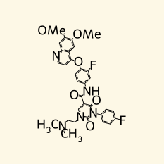 COc1cc2nccc(Oc3ccc(NC(=O)c4cn(CCN(C)C)c(=O)n(-c5ccc(F)cc5)c4=O)cc3F)c2cc1OC